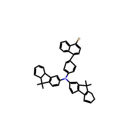 CC1(C)C2=C(C=CCC2)c2ccc(N(c3ccc(-c4ccc(Br)c5ccccc45)cc3)c3ccc4c(c3)C3C=CC=CC3C4(C)C)cc21